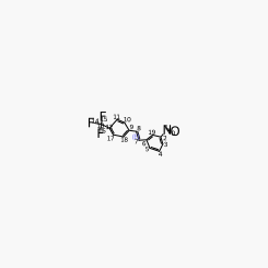 O=Nc1cccc(/C=C/c2ccc(C(F)(F)F)cc2)c1